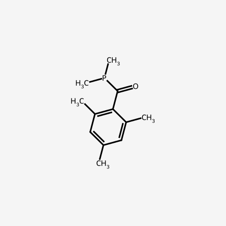 Cc1cc(C)c(C(=O)P(C)C)c(C)c1